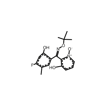 Cc1cc(C(=NOC(C)(C)C)c2c(O)ccc[n+]2[O-])c(O)cc1F